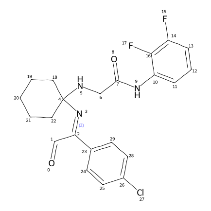 O=C/C(=N\C1(NCC(=O)Nc2cccc(F)c2F)CCCCC1)c1ccc(Cl)cc1